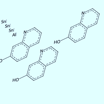 Oc1ccc2cccnc2c1.Oc1ccc2cccnc2c1.Oc1ccc2cccnc2c1.[Al].[Sn].[Sn].[Sn]